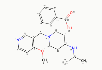 COc1ccncc1CN1CCC(NC(C)C)CC1.O=C(O)c1ccccc1